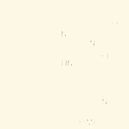 COc1cc(Nc2nc(=O)cc3n2C(c2ccccc2)CC3)c(C)cn1